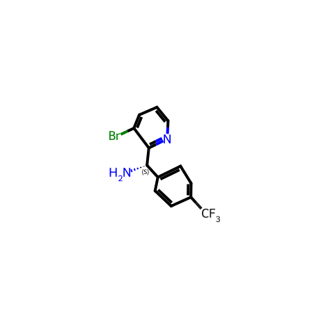 N[C@@H](c1ccc(C(F)(F)F)cc1)c1ncccc1Br